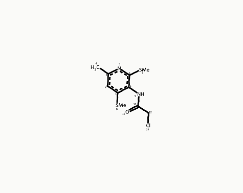 CSc1cc(C)nc(SC)c1NC(=O)CCl